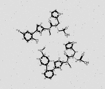 CN(C(=O)[C@@H](CC(=O)O)Cc1ccco1)c1nc(-c2cc(F)ccc2Cl)cs1.COc1ccc(-c2ccccc2-c2csc(N(C)C(=O)[C@@H](CC(=O)O)Cc3ccco3)n2)cn1